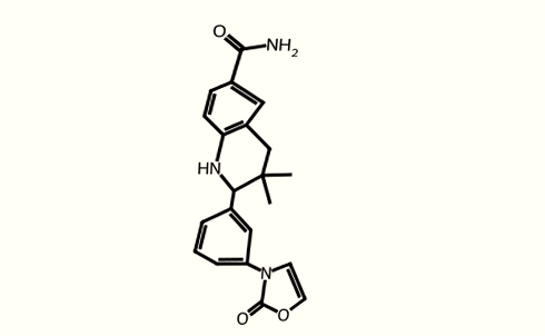 CC1(C)Cc2cc(C(N)=O)ccc2NC1c1cccc(-n2ccoc2=O)c1